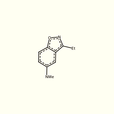 CCc1noc2ccc(NC)cc12